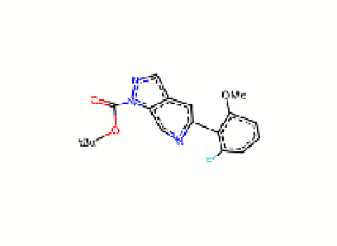 COc1cccc(F)c1-c1cc2cnn(C(=O)OC(C)(C)C)c2cn1